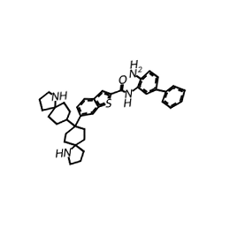 Nc1ccc(-c2ccccc2)cc1NC(=O)c1cc2ccc(C3(C4CCC5(CCCN5)CC4)CCC4(CCCN4)CC3)cc2s1